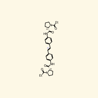 CCC(=O)N1CCC[C@H]1C(=O)Nc1ccc(/C=C/c2ccc(NC(=O)[C@@H]3CCCN3C(=O)CC)cc2)cc1